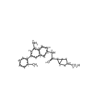 Cc1ccncc1-c1cc2cc(NC(=O)C3C4CN(C(=O)O)CC43)ncc2c(N)n1